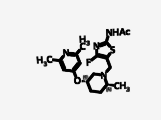 CC(=O)Nc1nc(F)c(CN2C[C@@H](Oc3cc(C)nc(C)c3)CC[C@@H]2C)s1